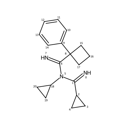 N=C(C1CC1)N(C(=N)C1(c2ccccc2)CCC1)C1CC1